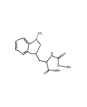 CNC(=O)C(CC1CN(C)c2ccccc21)NC(=O)OC(C)(C)C